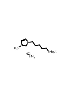 CCCCCCCCCCCCN1C=CN(C)C1.Cl.[InH3]